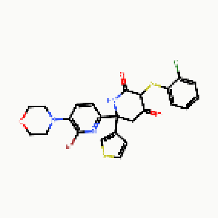 O=C1CC(c2ccsc2)(c2ccc(N3CCOCC3)c(Br)n2)NC(=O)C1Sc1ccccc1Cl